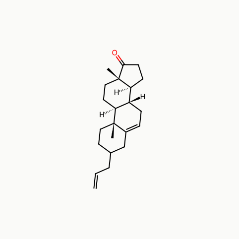 C=CCC1CC[C@@]2(C)C(=CC[C@@H]3[C@@H]2CC[C@]2(C)C(=O)CC[C@@H]32)C1